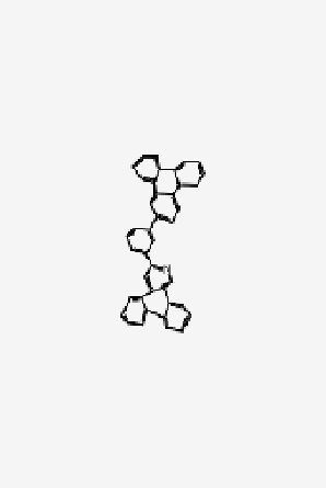 c1cc(-c2ccc3c4ccccc4c4ccccc4c3c2)cc(-c2cc3c4ccccc4c4ccccc4c3cn2)c1